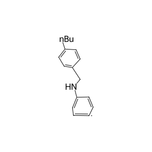 CCCCc1ccc(CNc2cc[c]cc2)cc1